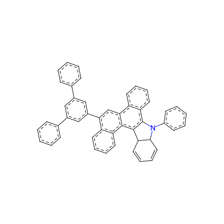 C1=CC2c3c(c4ccccc4c4cc(-c5cc(-c6ccccc6)cc(-c6ccccc6)c5)c5ccccc5c34)N(c3ccccc3)C2C=C1